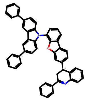 c1ccc(C2=Nc3ccccc3[C@H](c3ccc4c(c3)oc3c(-n5c6ccc(-c7ccccc7)cc6c6cc(-c7ccccc7)ccc65)cccc34)C2)cc1